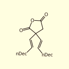 CCCCCCCCCCC=CC1(C=CCCCCCCCCCC)CC(=O)OC1=O